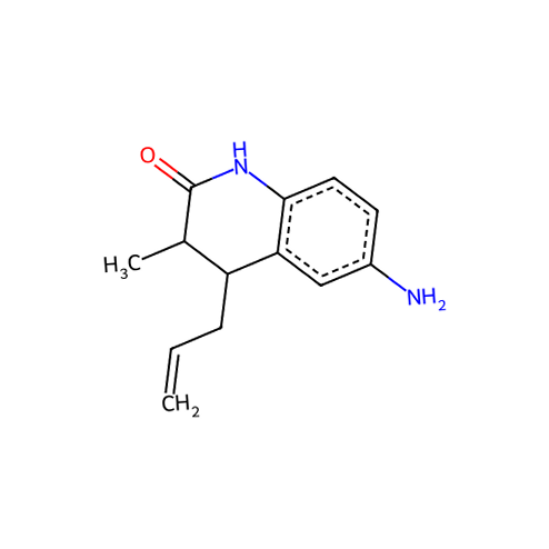 C=CCC1c2cc(N)ccc2NC(=O)C1C